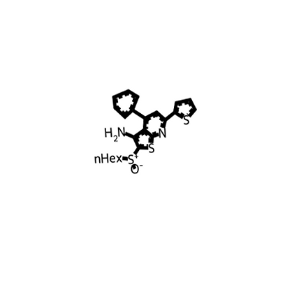 CCCCCC[S+]([O-])c1sc2nc(-c3cccs3)cc(-c3ccccc3)c2c1N